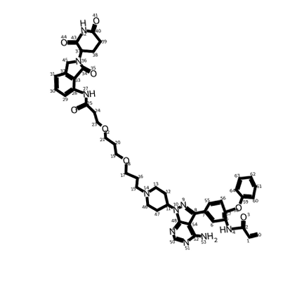 C=CC(=O)Nc1cc(-c2nn(C3CCN(CCCOCCCOCCC(=O)Nc4cccc5c4C(=O)N(C4CCC(=O)NC4=O)C5)CC3)c3ncnc(N)c23)ccc1Oc1ccccc1